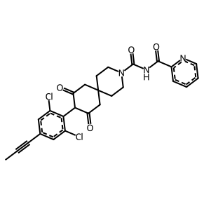 CC#Cc1cc(Cl)c(C2C(=O)CC3(CCN(C(=O)NC(=O)c4ccccn4)CC3)CC2=O)c(Cl)c1